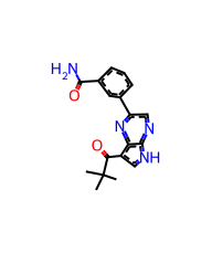 CC(C)(C)C(=O)c1c[nH]c2ncc(-c3cccc(C(N)=O)c3)nc12